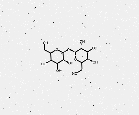 OCC1O[C@@H](S[C@@H]2OC(CO)[C@H](O)C(O)[C@@H]2O)[C@H](O)C(O)[C@H]1O